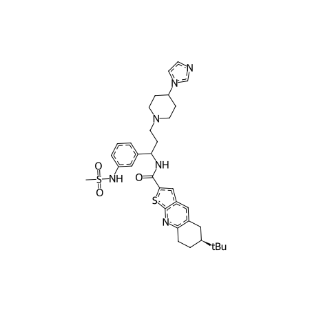 CC(C)(C)[C@H]1CCc2nc3sc(C(=O)NC(CCN4CCC(n5ccnc5)CC4)c4cccc(NS(C)(=O)=O)c4)cc3cc2C1